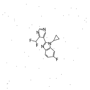 Fc1ccc2nc(-c3cncnc3C(F)F)n(C3CC3)c2c1